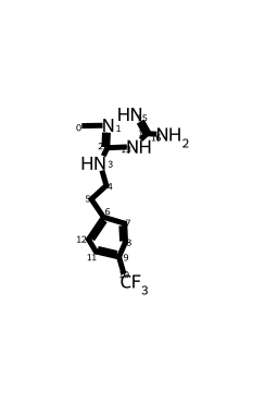 C/N=C(\NCCc1ccc(C(F)(F)F)cc1)NC(=N)N